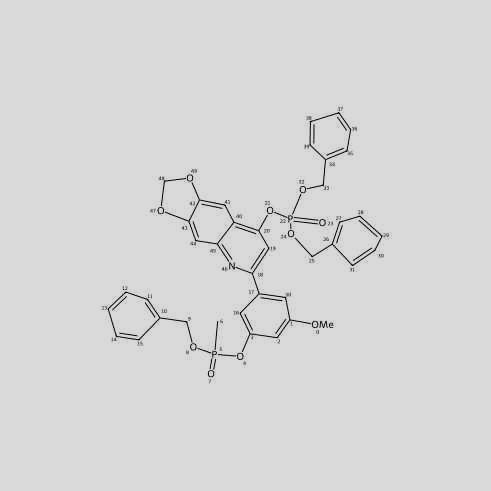 COc1cc(OP(C)(=O)OCc2ccccc2)cc(-c2cc(OP(=O)(OCc3ccccc3)OCc3ccccc3)c3cc4c(cc3n2)OCO4)c1